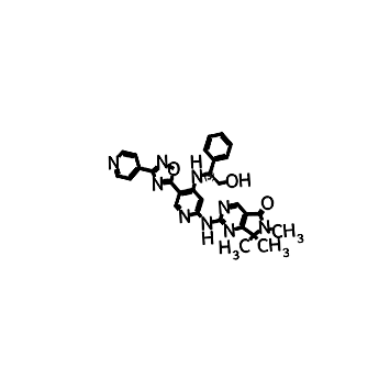 CN1C(=O)c2cnc(Nc3cc(N[C@H](CO)c4ccccc4)c(-c4nc(-c5ccncc5)no4)cn3)nc2C1(C)C